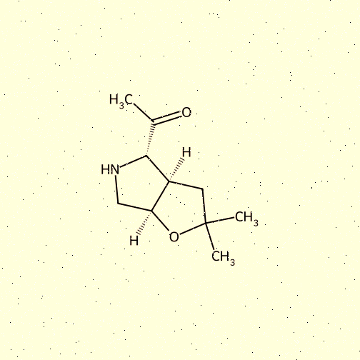 CC(=O)[C@H]1NC[C@@H]2OC(C)(C)C[C@@H]21